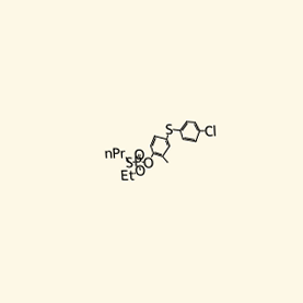 CCCSP(=O)(OCC)Oc1ccc(Sc2ccc(Cl)cc2)cc1C